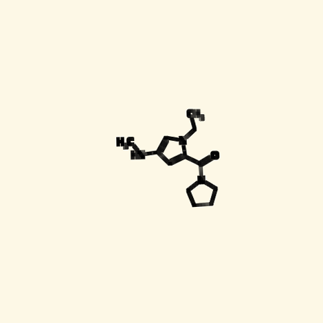 CCn1cc(NC)cc1C(=O)N1CCCC1